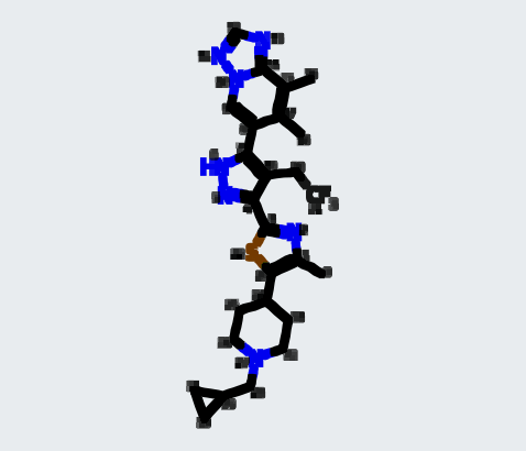 Cc1nc(-c2n[nH]c(-c3cn4ncnc4c(C)c3C)c2CC(F)(F)F)sc1C1CCN(CC2CC2)CC1